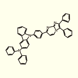 c1ccc(-c2nc3nc(-c4ccc(-n5c6ccccc6c6cc(N(c7ccccc7)c7ccccc7)ccc65)cc4)ccn3c2-c2ccccc2)cc1